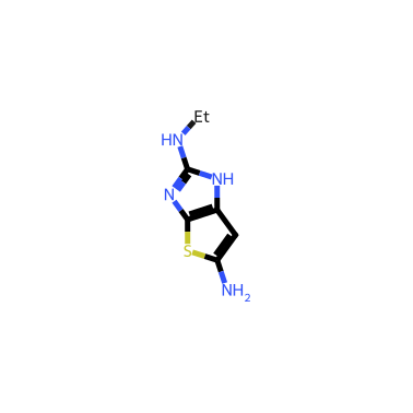 CCNc1nc2sc(N)cc2[nH]1